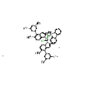 CCCc1ccc2c(c1-c1cc(C(C)C)cc(C(C)C)c1)C=C(C(C)C)[CH]2[Zr]([Cl])([Cl])([c]1cccc2c1[SiH2]c1ccccc1-2)[CH]1C(C(C)C)=Cc2c1ccc(CCC)c2-c1cc(C(C)C)cc(C(C)C)c1